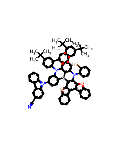 CC(C)(C)c1cc(-c2cc3c4c(c2)N(c2ccccc2S)c2c(c5sc6ccccc6c5c5c2oc2ccccc25)B4c2ccc(-n4c5ccccc5c5cc(C#N)ccc54)cc2N3c2ccc(C(C)(C)C)cc2-c2ccccc2)cc(C(C)(C)C)c1